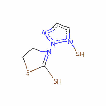 SC1=NCCS1.Sn1ccnn1